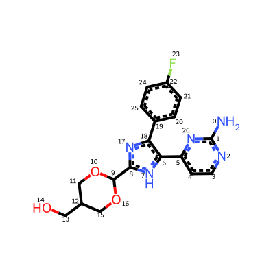 Nc1nccc(-c2[nH]c(C3OCC(CO)CO3)nc2-c2ccc(F)cc2)n1